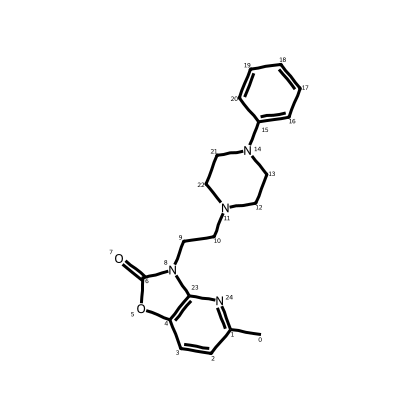 Cc1ccc2oc(=O)n(CCN3CCN(c4ccccc4)CC3)c2n1